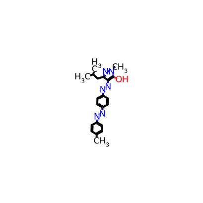 Cc1ccc(N=Nc2ccc(N=Nc3c(CC(C)C)nn(C)c3O)cc2)cc1